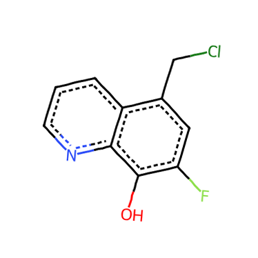 Oc1c(F)cc(CCl)c2cccnc12